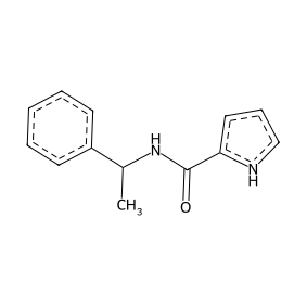 CC(NC(=O)c1ccc[nH]1)c1ccccc1